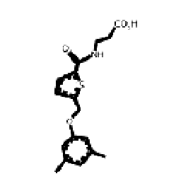 Cc1cc(C)cc(OCc2ccc(C(=O)NCCC(=O)O)s2)c1